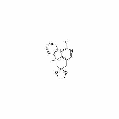 CC1(c2ccccc2)CC2(Cc3cnc(Cl)nc31)OCCO2